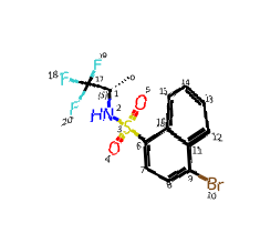 C[C@H](NS(=O)(=O)c1ccc(Br)c2ccccc12)C(F)(F)F